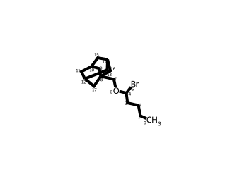 CCCCC(Br)OCC12CC3CC(CC(C3)C1)C2